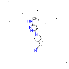 CNc1ccc(N2CCC(CC#N)CC2)nn1